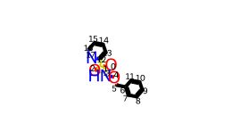 O=S(=O)(NOCc1ccccc1)c1ccccn1